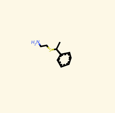 CC(SCCN)c1ccccc1